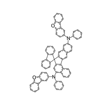 c1ccc(N(c2ccc3cc4c(cc3c2)C2(c3ccccc3-c3ccccc32)c2cc(N(c3ccccc3)c3ccc5oc6ccccc6c5c3)c3ccccc3c2-4)c2ccc3oc4ccccc4c3c2)cc1